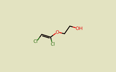 OCCOC(Cl)=CCl